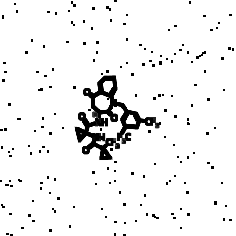 O=C1C[C@@H](NC(=O)C2(NC(=O)C3(C(F)(F)F)CC3)CC2)C(=O)N(Cc2cc(C(F)(F)F)cc(C(F)(F)F)c2)c2ccccc21